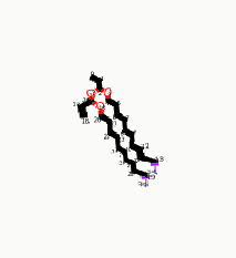 C=CC(OCCCCCCCCCCI)OC(C=C)OCCCCCCCCCCI